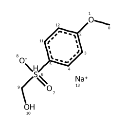 COc1ccc([SH](=O)([O-])CO)cc1.[Na+]